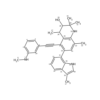 CNc1cccc(C#Cc2c(-c3cccc4c(C)c[nH]c34)cc(C)c3c2C(C)C(O)C(C)(C)N3)c1